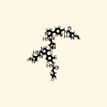 CCn1cc(C(=O)NCc2ccc(-c3ccnc4[nH]c(-c5cnn(Cc6cnc7[nH]c(-c8cnn(C)c8)nc7c6-c6ccc(CNC(=O)CCC(C)(C)C)c(F)c6)c5)nc34)cc2F)cn1